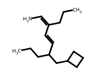 CCCC(=C/N)/C=C/C(CCC)CC1CCC1